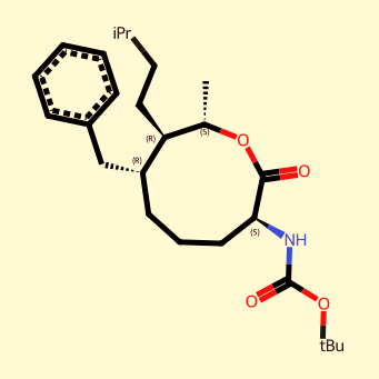 CC(C)CC[C@@H]1[C@@H](Cc2ccccc2)CCC[C@H](NC(=O)OC(C)(C)C)C(=O)O[C@H]1C